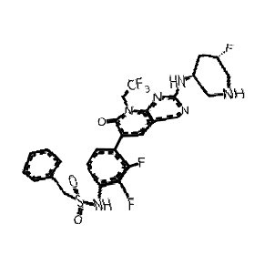 O=c1c(-c2ccc(NS(=O)(=O)Cc3ccccc3)c(F)c2F)cc2cnc(N[C@@H]3CNC[C@@H](F)C3)nc2n1CC(F)(F)F